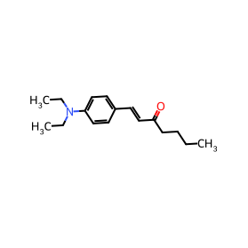 CCCCC(=O)C=Cc1ccc(N(CC)CC)cc1